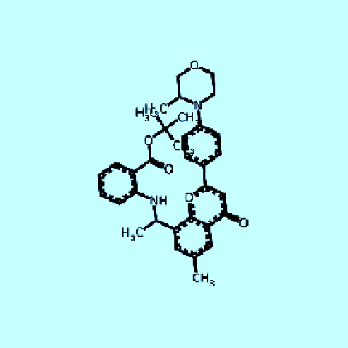 Cc1cc(C(C)Nc2ccccc2C(=O)OC(C)(C)C)c2oc(-c3ccc(N4CCOCC4C)cc3)cc(=O)c2c1